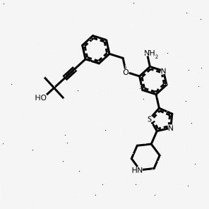 CC(C)(O)C#Cc1cccc(COc2cc(-c3cnc(C4CCNCC4)s3)cnc2N)c1